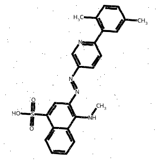 CNc1c(/N=N/c2ccc(-c3cc(C)ccc3C)nc2)cc(S(=O)(=O)O)c2ccccc12